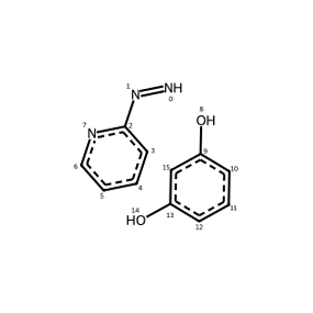 N=Nc1ccccn1.Oc1cccc(O)c1